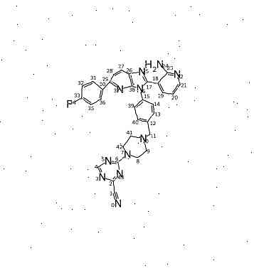 N#Cc1ncnc(N2CCN(Cc3ccc(-n4c(-c5cccnc5N)nc5ccc(-c6ccc(F)cc6)nc54)cc3)CC2)n1